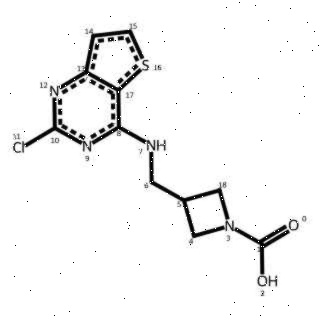 O=C(O)N1CC(CNc2nc(Cl)nc3ccsc23)C1